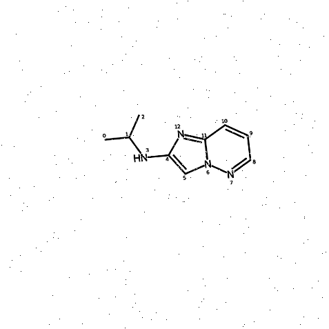 CC(C)Nc1cn2ncccc2n1